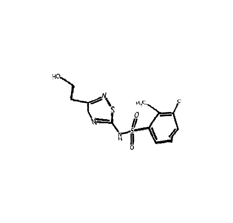 Cc1c(Cl)cccc1S(=O)(=O)Nc1nc(CCO)ns1